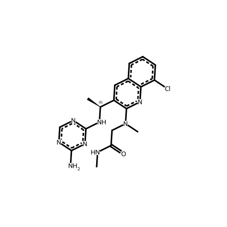 CNC(=O)CN(C)c1nc2c(Cl)cccc2cc1[C@H](C)Nc1ncnc(N)n1